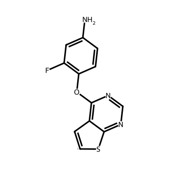 Nc1ccc(Oc2ncnc3s[c]cc23)c(F)c1